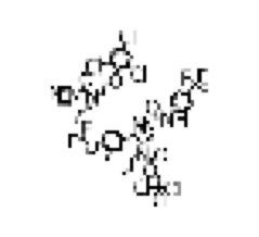 CCCN(C(=O)OCC(Cl)(Cl)Cl)C1CN(C(=O)Nc2ccc(C(F)(F)F)cc2)N=C1c1ccc(OC(F)F)c(C)c1.CCCN(CCOc1c(Cl)cc(Cl)cc1Cl)C(=O)n1ccnc1